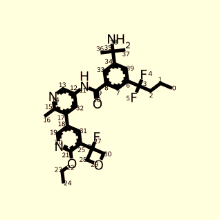 CCCC(F)(F)c1cc(C(=O)Nc2cnc(C)c(-c3cnc(OCC)c(C4(F)COC4)c3)c2)cc(C(C)(C)N)c1